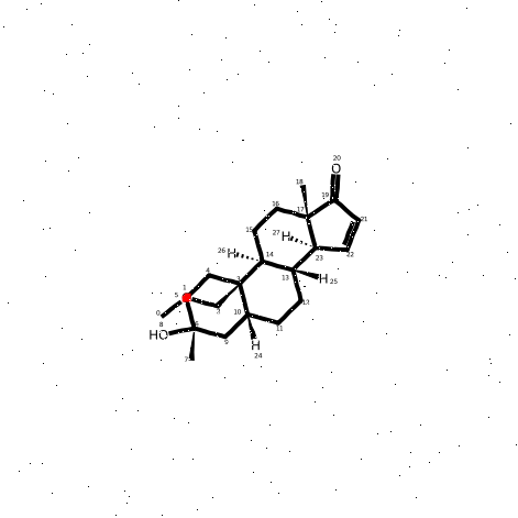 COC[C@]12CC[C@@](C)(O)C[C@H]1CC[C@@H]1[C@@H]2CC[C@]2(C)C(=O)C=C[C@@H]12